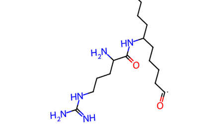 CCCCC(CCCC[C]=O)NC(=O)C(N)CCCNC(=N)N